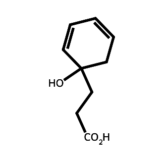 O=C(O)CCC1(O)C=CC=CC1